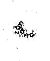 CO[C@@H]1[C@@H](n2cc(-c3cc(F)c(F)c(F)c3)nn2)[C@@H](O)[C@@H](CO)O[C@H]1S[C@H](c1ncccc1C)C1(O)CCC(F)(F)CC1